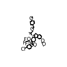 COCOc1ccc2c(c1)C1(CCC(C(=O)OC)(N(C(=O)C(F)(F)F)c3cccc(Cl)c3)CC1)[C@H](C[C@@H](C)COCc1ccc(OC)cc1)C2